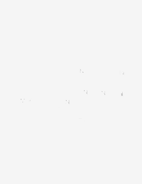 COCCC(=O)N1CCN(c2nc(C(C)C)c(Br)cc2C#N)CC1C